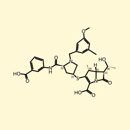 COc1cc(C)cc(CN2C[C@@H](SC3=C(C(=O)O)N4C(=O)[C@H]([C@@H](C)O)[C@H]4[C@H]3C)C[C@H]2C(=O)Nc2cccc(C(=O)O)c2)c1